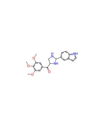 COc1cc(C(=O)C2CNC(c3ccc4[nH]ccc4c3)N2)cc(OC)c1OC